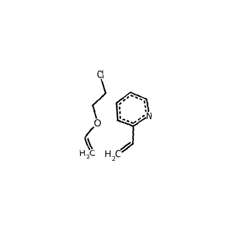 C=COCCCl.C=Cc1ccccn1